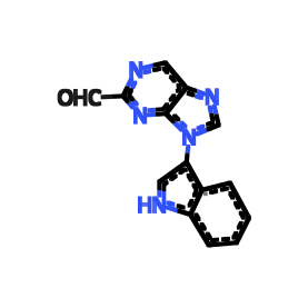 O=Cc1ncc2ncn(-c3c[nH]c4ccccc34)c2n1